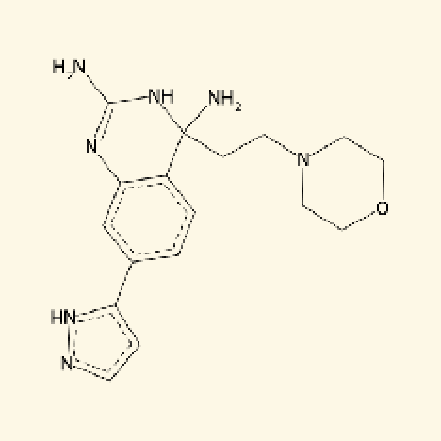 NC1=Nc2cc(-c3ccn[nH]3)ccc2C(N)(CCN2CCOCC2)N1